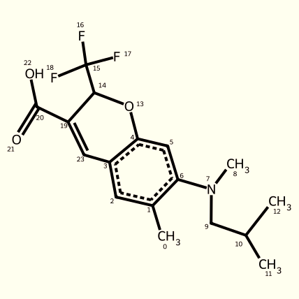 Cc1cc2c(cc1N(C)CC(C)C)OC(C(F)(F)F)C(C(=O)O)=C2